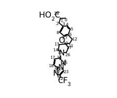 CC(Cc1ccc2c(c1)OC1(CC2)CCN(c2ccc3nc(C(F)(F)F)cn3n2)CC1)C(=O)O